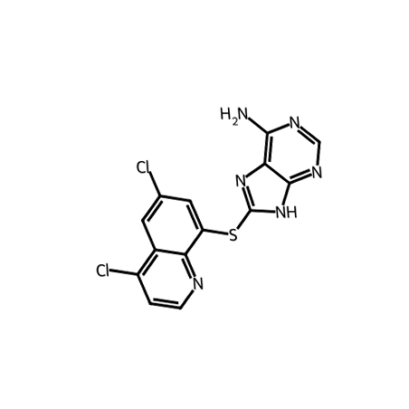 Nc1ncnc2[nH]c(Sc3cc(Cl)cc4c(Cl)ccnc34)nc12